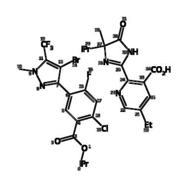 CC(C)OC(=O)c1cc(-c2nn(C)c(C(F)(F)F)c2Br)c(F)cc1Cl.CCc1cnc(C2=NC(C)(C(C)C)C(=O)N2)c(C(=O)O)c1